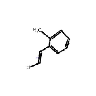 Cc1ccccc1/C=C/Cl